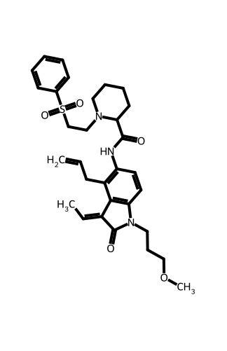 C=CCc1c(NC(=O)C2CCCCN2CCS(=O)(=O)c2ccccc2)ccc2c1/C(=C\C)C(=O)N2CCCOC